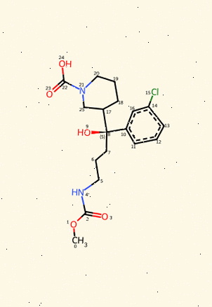 COC(=O)NCCC[C@@](O)(c1cccc(Cl)c1)C1CCCN(C(=O)O)C1